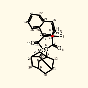 CC(F)(F)C(=O)OC12CC3CC(C1)C(OC(=O)c1cccc4ccccc14)C(C3)C2